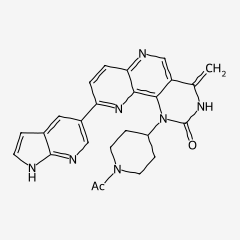 C=C1NC(=O)N(C2CCN(C(C)=O)CC2)c2c1cnc1ccc(-c3cnc4[nH]ccc4c3)nc21